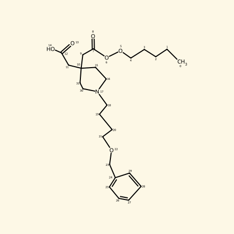 CCCCCOOC(=O)CC1(CC(=O)O)CCN(CCCCOCc2ccccc2)CC1